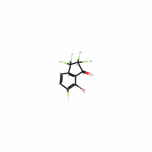 O=C1c2c(ccc(F)c2Br)C(F)(F)C1(F)F